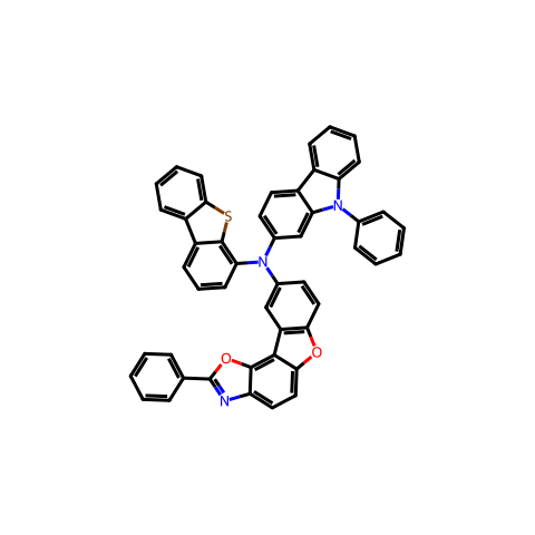 c1ccc(-c2nc3ccc4oc5ccc(N(c6ccc7c8ccccc8n(-c8ccccc8)c7c6)c6cccc7c6sc6ccccc67)cc5c4c3o2)cc1